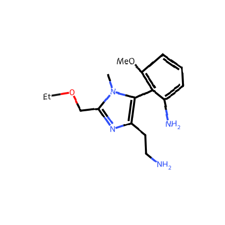 CCOCc1nc(CCN)c(-c2c(N)cccc2OC)n1C